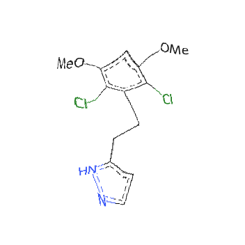 COc1cc(OC)c(Cl)c(CCc2ccn[nH]2)c1Cl